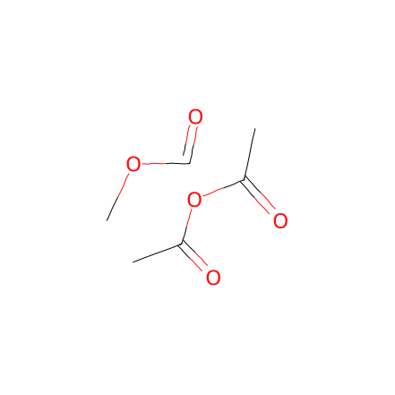 CC(=O)OC(C)=O.COC=O